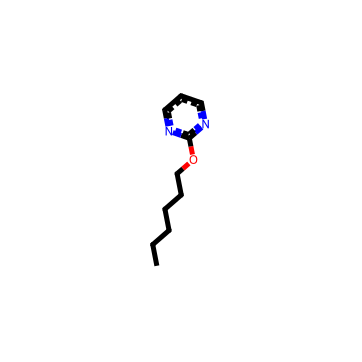 CCCCCCOc1ncccn1